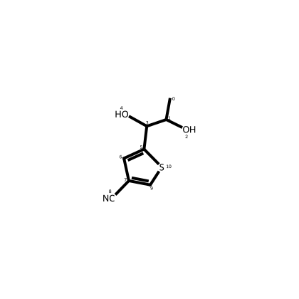 CC(O)C(O)c1cc(C#N)cs1